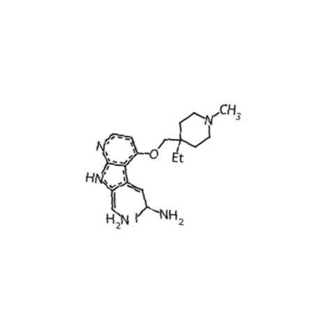 CCC1(COc2ccnc3[nH]c(=C/N)/c(=C\C(N)I)c23)CCN(C)CC1